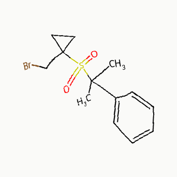 CC(C)(c1ccccc1)S(=O)(=O)C1(CBr)CC1